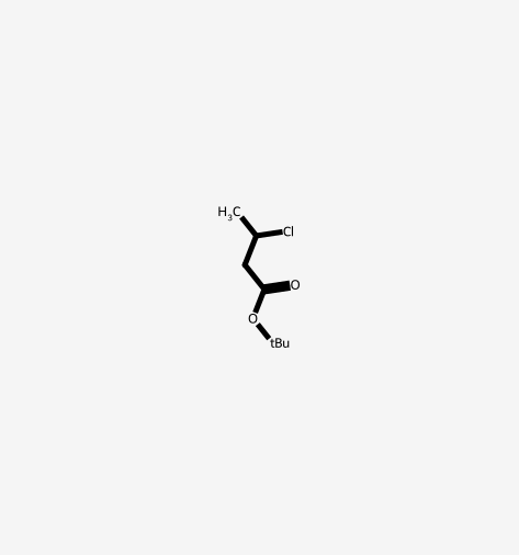 CC(Cl)CC(=O)OC(C)(C)C